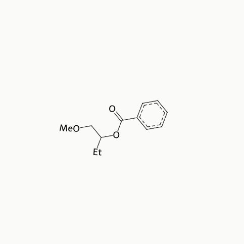 CCC(COC)OC(=O)c1ccccc1